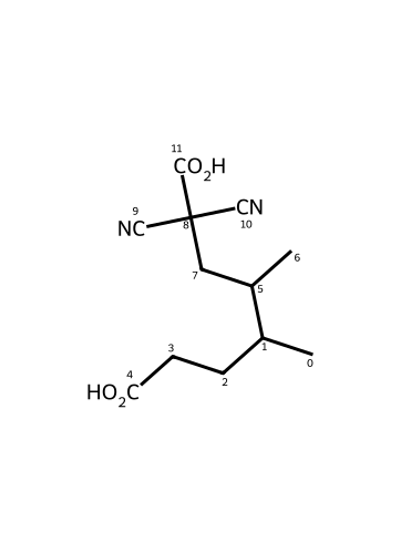 CC(CCC(=O)O)C(C)CC(C#N)(C#N)C(=O)O